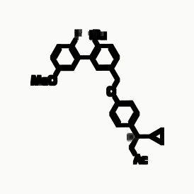 COc1ccc(F)c(-c2cc(COc3ccc([C@H](CC(C)=O)C4CC4)cc3)ccc2C(C)(C)C)c1